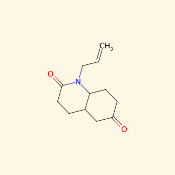 C=CCN1C(=O)CCC2CC(=O)CCC21